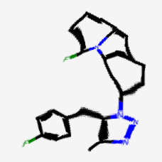 Cc1nnn(C2CCc3[c]c4cccc(F)n4c3C2)c1Cc1ccc(F)cc1